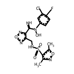 Cc1noc(C)c1S(=O)(=O)NCc1nonc1C(=N)N(O)c1ccc(F)c(Cl)c1